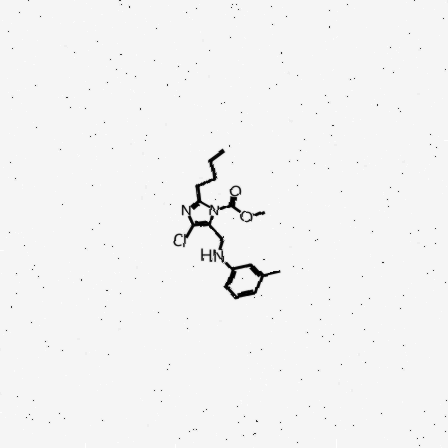 CCCCc1nc(Cl)c(CNc2cccc(C)c2)n1C(=O)OC